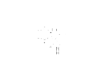 CC(O)C1(c2ccccc2)CNC1